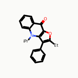 CCc1oc2c(=O)c3ccccc3n(C(C)C)c2c1-c1ccccc1